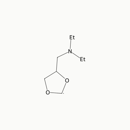 CCN(CC)CC1CO[CH]O1